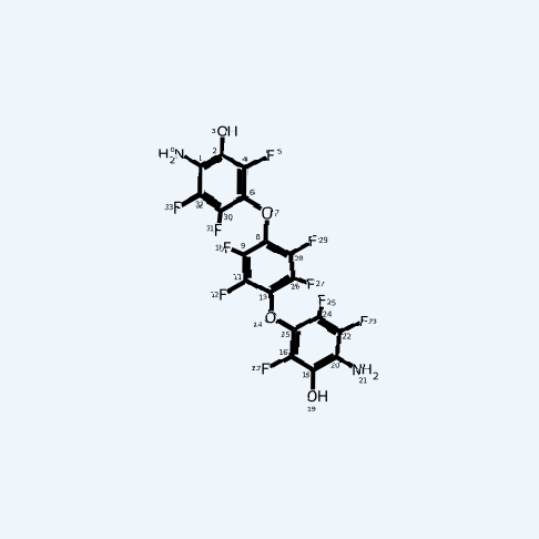 Nc1c(O)c(F)c(Oc2c(F)c(F)c(Oc3c(F)c(O)c(N)c(F)c3F)c(F)c2F)c(F)c1F